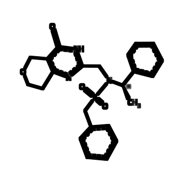 C[C@H](c1ccccc1)N(Cc1nc2c(c(=O)[nH]1)COCC2)S(=O)(=O)Cc1ccccc1